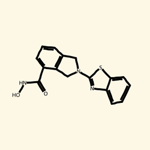 O=C(NO)c1cccc2c1CN(c1nc3ccccc3s1)C2